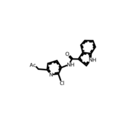 CC(=O)Cc1ccc(NC(=O)c2c[nH]c3ccccc23)c(Cl)n1